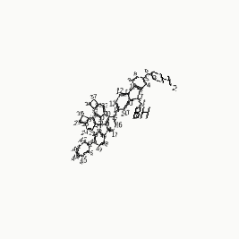 B=CC1c2cc(C=C)ccc2-c2ccc(-c3ccc4c(c3)C(c3ccc5c(c3)CC5)(c3ccc5c(c3)CC5)c3cc(-c5ccccc5)ccc3-4)cc21